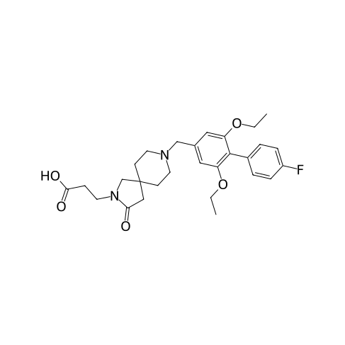 CCOc1cc(CN2CCC3(CC2)CC(=O)N(CCC(=O)O)C3)cc(OCC)c1-c1ccc(F)cc1